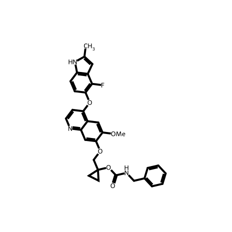 COc1cc2c(Oc3ccc4[nH]c(C)cc4c3F)ccnc2cc1OCC1(OC(=O)NCc2ccccc2)CC1